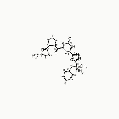 Cc1csc([C@H]2CCCN2C(=O)c2cc(-c3nnc([C@](C)(N)Cc4ccccc4)o3)[nH]c(=O)c2)n1